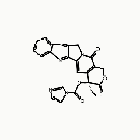 CC[C@@]1(OC(=O)n2ccnc2)C(=O)OCc2c1cc1n(c2=O)Cc2cc3ccccc3nc2-1